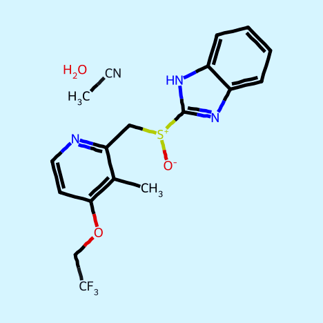 CC#N.Cc1c(OCC(F)(F)F)ccnc1C[S+]([O-])c1nc2ccccc2[nH]1.O